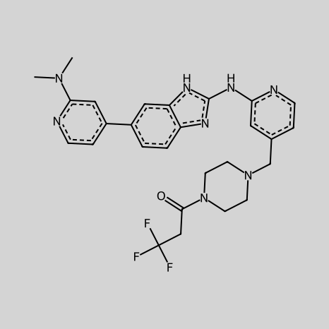 CN(C)c1cc(-c2ccc3nc(Nc4cc(CN5CCN(C(=O)CC(F)(F)F)CC5)ccn4)[nH]c3c2)ccn1